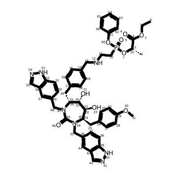 CCOC(=O)[C@H](C)OP(=O)(CCNCc1ccc(C[C@@H]2[C@H](O)[C@@H](O)[C@@H](Cc3ccc(OC)cc3)N(Cc3ccc4[nH]ncc4c3)C(=O)N2Cc2ccc3[nH]ncc3c2)cc1)Oc1ccccc1